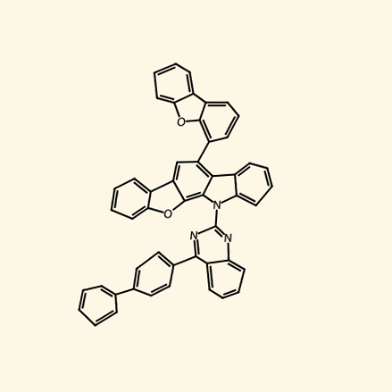 c1ccc(-c2ccc(-c3nc(-n4c5ccccc5c5c(-c6cccc7c6oc6ccccc67)cc6c7ccccc7oc6c54)nc4ccccc34)cc2)cc1